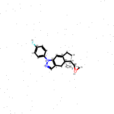 C[C@]12Cc3cnn(-c4ccc(F)cc4)c3C=C1CC[C@@H]2[C@@H]1CO1